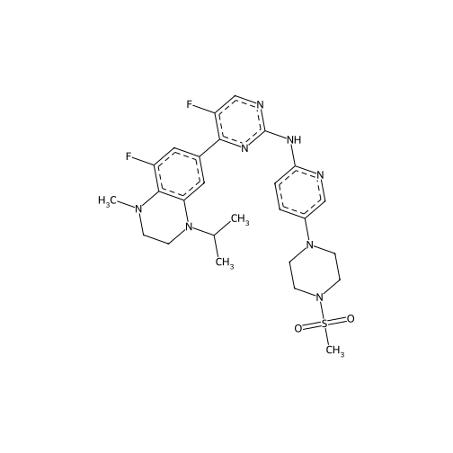 CC(C)N1CCN(C)c2c(F)cc(-c3nc(Nc4ccc(N5CCN(S(C)(=O)=O)CC5)cn4)ncc3F)cc21